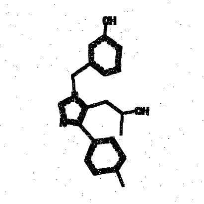 Cc1ccc(-c2ncn(Cc3cccc(O)c3)c2CC(C)O)cc1